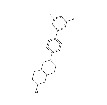 CCC1CCC2CC(c3ccc(-c4cc(F)cc(F)c4)cc3)CCC2C1